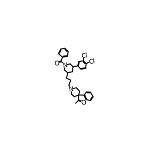 CC(=O)C1(c2ccccc2)CCN(CCCC2CC(c3ccc(Cl)c(Cl)c3)CN(C(=O)c3ccccc3)C2)CC1